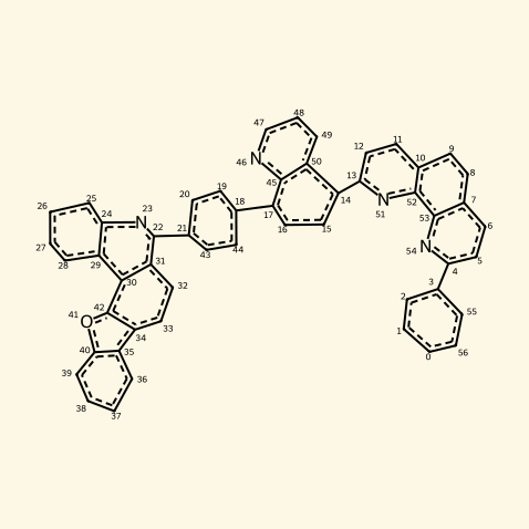 c1ccc(-c2ccc3ccc4ccc(-c5ccc(-c6ccc(-c7nc8ccccc8c8c7ccc7c9ccccc9oc78)cc6)c6ncccc56)nc4c3n2)cc1